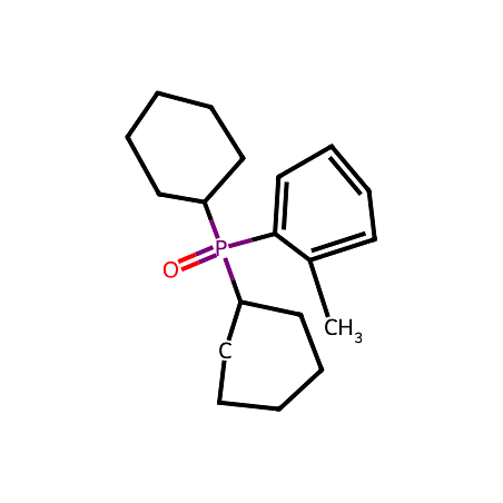 Cc1ccccc1P(=O)(C1CCCCC1)C1CCCCC1